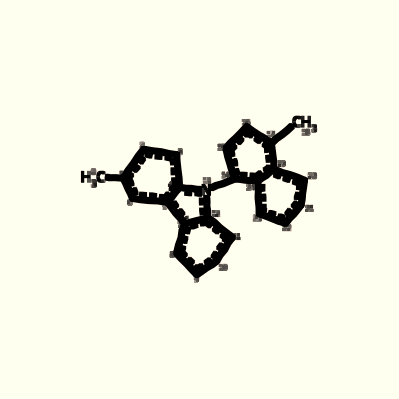 Cc1ccc2c(c1)c1ccccc1n2-c1ccc(C)c2ccccc12